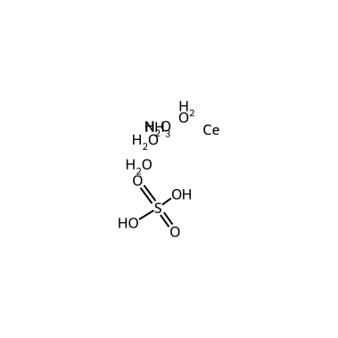 N.O.O.O.O.O=S(=O)(O)O.[Ce]